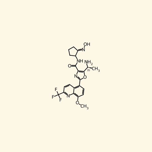 COc1ccc(-c2nc(C(=O)NC3CCCC3=NO)c([C@H](C)N)o2)c2ccc(C(F)(F)F)nc12